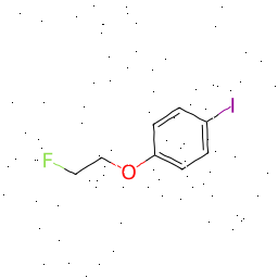 FCCOc1ccc(I)cc1